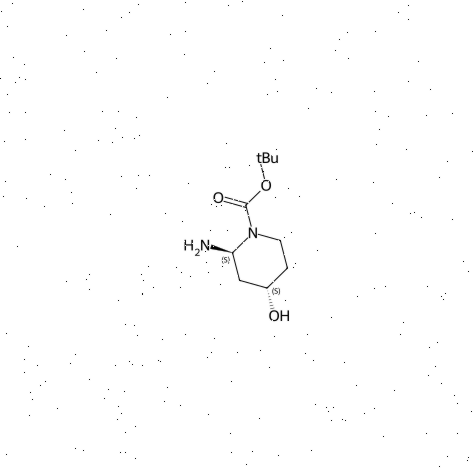 CC(C)(C)OC(=O)N1CC[C@H](O)C[C@H]1N